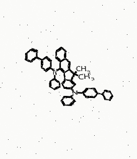 CC1(C)c2cc(N(c3ccccc3)c3ccc(-c4ccccc4)cc3)ccc2-c2c1cc1ccccc1c2N(c1ccccc1)c1ccc(-c2ccccc2)cc1